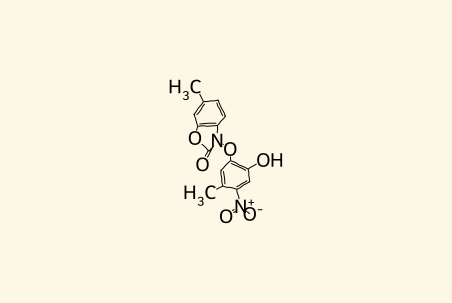 Cc1ccc2c(c1)oc(=O)n2Oc1cc(C)c([N+](=O)[O-])cc1O